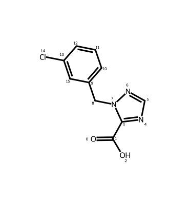 O=C(O)c1ncnn1Cc1cccc(Cl)c1